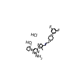 Cc1c(/C=C/CN2CCN(c3cc(F)cc(F)c3)CC2)cnn1-c1cc(N2CCC[C@@H]2CO)nc(N)n1.Cl